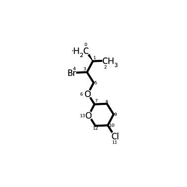 [CH2][C@@H](C)C(Br)COC1CCC(Cl)CO1